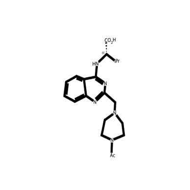 CC(=O)N1CCN(Cc2nc(N[C@H](C(=O)O)C(C)C)c3ccccc3n2)CC1